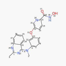 Cc1nc(N(C)c2cccc(Oc3ccc(C(=O)NO)nc3)c2)c2ccccc2n1